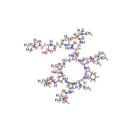 CC(C)C[C@@H]1NC(=O)[C@H](Cc2ccccc2)NC(=O)[C@H](CCNC(=O)OC(C)(C)C)NC(=O)[C@H](NC(=O)[C@H](CCNC(=O)OC(C)(C)C)NC(=O)[C@@H](NC(=O)CCC(=O)N[C@@H](CCC(=O)OC(C)(C)C)C(=O)O)[C@H](C)O)CCNC(=O)[C@@H]([C@H](C)O)NC(=O)[C@H](CCNC(=O)OC(C)(C)C)NC(=O)[C@H](CCNC(=O)OC(C)(C)C)NC1=O